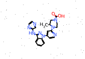 C[C@H]1CN(C(=O)O)CCN1c1cc(-n2nc(Nc3cnccn3)c3ccccc32)ccn1